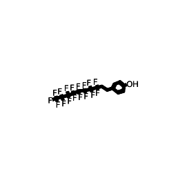 Oc1ccc(CCC(F)(F)C(F)(F)C(F)(F)C(F)(F)C(F)(F)C(F)(F)C(F)(F)C(F)(F)F)cc1